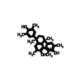 Cc1cc([C@]2(C)CC[C@](C)(c3cc(C)c(O)c(C)c3)c3cc(C)c(O)c(C)c32)cc(C)c1O